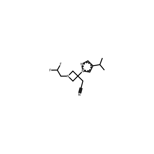 CC(C)c1cnn(C2(CC#N)CN(CC(F)F)C2)c1